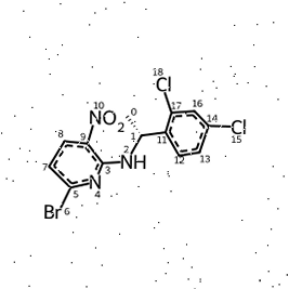 C[C@@H](Nc1nc(Br)ccc1[N+](=O)[O-])c1ccc(Cl)cc1Cl